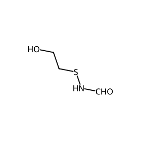 O=CNSCCO